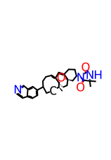 C[C@H]1CCC(c2ccc3ccncc3c2)CC/C=C2/C=C3CCC(N4C(=O)NC(C)(C)C4=O)C[C@]34CC[C@@]21O4